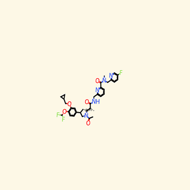 CC(=O)N1CC(c2ccc(OC(F)F)c(OCC3CC3)c2)C[C@@H]1[C@@H](C)C(=O)NCc1cccc(C(=O)N(C)Cc2ccc(F)cn2)n1